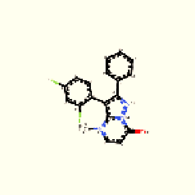 O=c1c[c]n(C(F)(F)F)c2c(-c3ccc(F)cc3F)c(-c3ccccc3)nn12